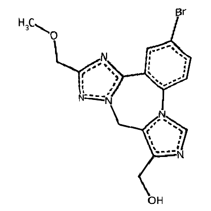 COCc1nc2n(n1)Cc1c(CO)ncn1-c1ccc(Br)cc1-2